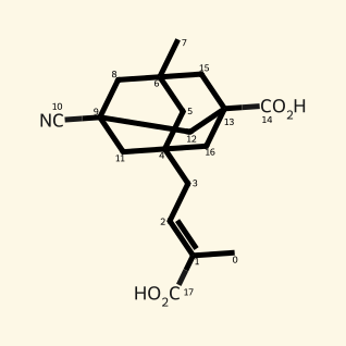 CC(=CCC12CC3(C)CC(C#N)(C1)CC(C(=O)O)(C3)C2)C(=O)O